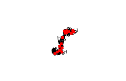 COc1cccc(F)c1-c1ncc2[nH]nc(-c3ccc(N4CCN(CC(=O)NCCNc5cccc6c5C(=O)N(C5CCC(=O)NC5=O)C6=O)CC4)cc3)c2n1